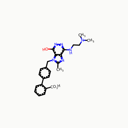 Cc1nc2c(NCCN(C)C)nnc(O)c2n1Cc1ccc(-c2ccccc2C(=O)O)cc1